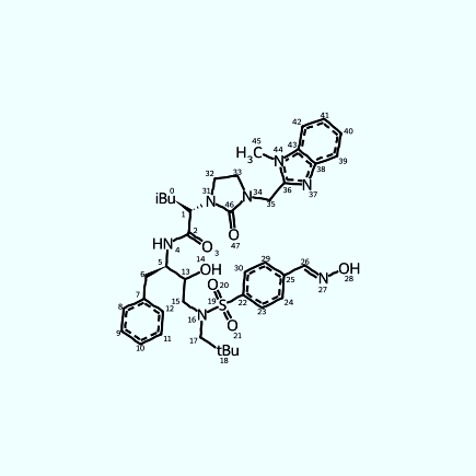 CC[C@H](C)[C@@H](C(=O)N[C@H](Cc1ccccc1)C(O)CN(CC(C)(C)C)S(=O)(=O)c1ccc(/C=N/O)cc1)N1CCN(Cc2nc3ccccc3n2C)C1=O